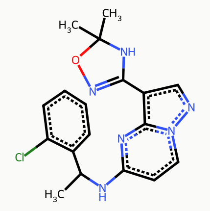 CC(Nc1ccn2ncc(C3=NOC(C)(C)N3)c2n1)c1ccccc1Cl